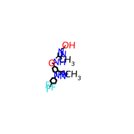 Cc1nn(CCO)cc1CNC(=O)c1ccc2c(c1)c1cn(C)nc1n2-c1ccc(C(F)(F)F)cc1